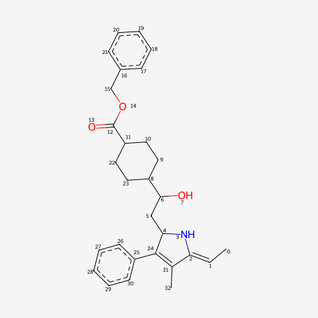 C/C=C1\NC(CC(O)C2CCC(C(=O)OCc3ccccc3)CC2)C(c2ccccc2)=C1C